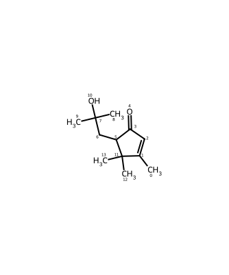 CC1=CC(=O)C(CC(C)(C)O)C1(C)C